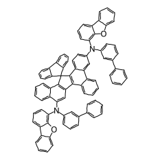 c1ccc(-c2cccc(N(c3ccc4c5c(c6ccccc6c4c3)-c3cc(N(c4cccc(-c6ccccc6)c4)c4cccc6c4oc4ccccc46)c4ccccc4c3C53c4ccccc4-c4ccccc43)c3cccc4c3oc3ccccc34)c2)cc1